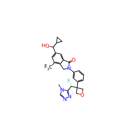 Cn1cnnc1[C@H](F)C1(c2cccc(N3Cc4c(cc(C(O)C5CC5)cc4C(F)(F)F)C3=O)c2)COC1